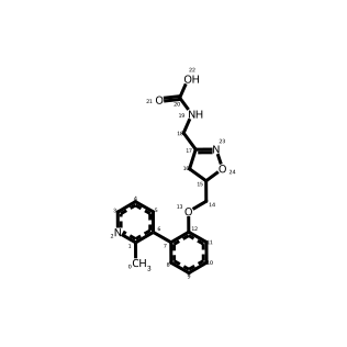 Cc1ncccc1-c1ccccc1OCC1CC(CNC(=O)O)=NO1